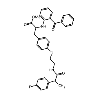 COC(=O)C(Cc1ccc(OCCNC(=O)C(C)c2ccc(F)cc2)cc1)Nc1ccccc1C(=O)c1ccccc1